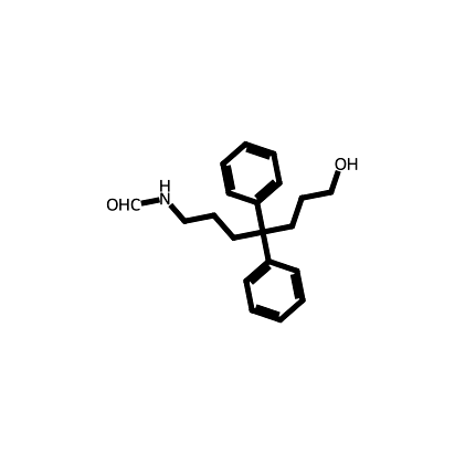 O=CNCCCC(CCCO)(c1ccccc1)c1ccccc1